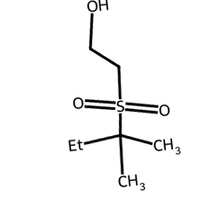 CCC(C)(C)S(=O)(=O)CCO